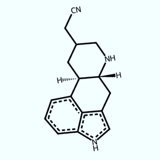 N#CCC1CN[C@@H]2Cc3c[nH]c4cccc(c34)[C@H]2C1